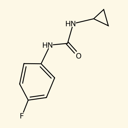 O=C(Nc1ccc(F)cc1)NC1CC1